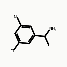 CC(N)c1cc(Cl)cc(Cl)c1